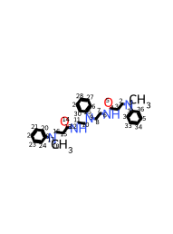 CN(CCC(=O)NCCN(CCNC(=O)CCN(C)c1ccccc1)c1ccccc1)c1ccccc1